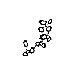 c1ccc(-n2c3ccccc3c3ccc(-c4ccc5c(c4)c4ccccc4n5-c4cccc5c4c4ccccc4n5-c4cccc([Si](c5ccccc5)(c5ccccc5)c5ccccc5)c4)cc32)cc1